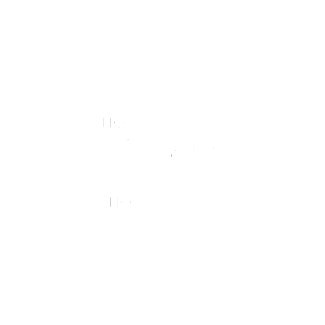 OCCO.[Cl-].[Cl-].[Ra+2]